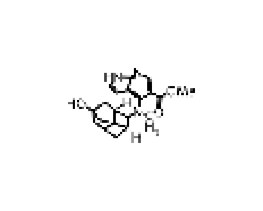 COC(=O)c1cnc2[nH]ccc2c1N(C)C1[C@@H]2CC3C[C@H]1CC(O)(C3)C2